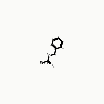 [CH2]CC(=O)OCc1ccccc1